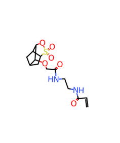 C=CC(=O)NCCNC(=O)COC1C2CC3C1OS(=O)(=O)C3C2